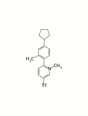 CCc1ccc(-c2ccc(C3CCCC3)cc2C)[n+](C)c1